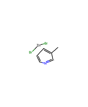 Cc1[c]nccc1.[Br][Zn][Br]